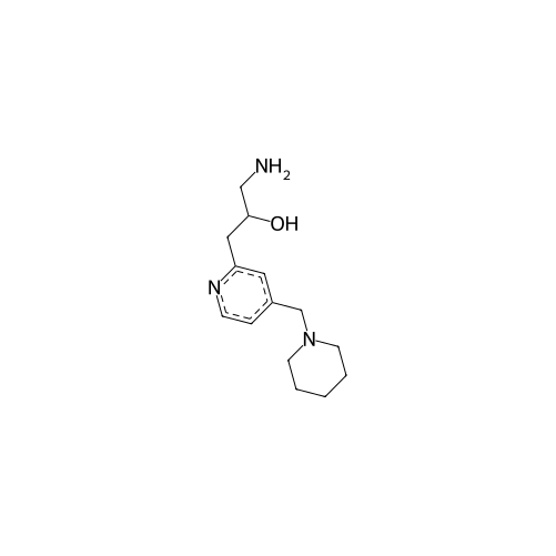 NCC(O)Cc1cc(CN2CCCCC2)ccn1